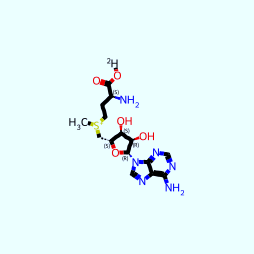 [2H]OC(=O)[C@@H](N)CC[S+](C)C[C@H]1O[C@@H](n2cnc3c(N)ncnc32)[C@H](O)[C@@H]1O